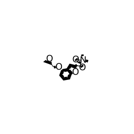 CN(C)S(=O)(=O)c1cc2c(OC[C@@H]3CO3)cccc2o1